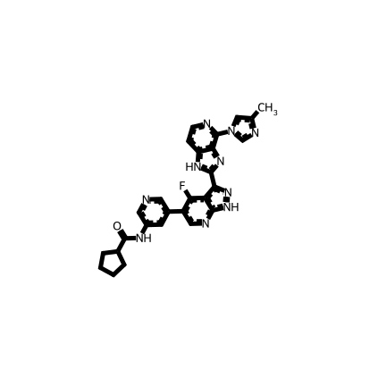 Cc1cn(-c2nccc3[nH]c(-c4n[nH]c5ncc(-c6cncc(NC(=O)C7CCCC7)c6)c(F)c45)nc23)cn1